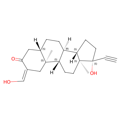 C#C[C@]1(O)CC[C@H]2[C@@H]3CC[C@H]4CC(=O)C(=CO)C[C@]4(C)[C@H]3CC[C@@]21C